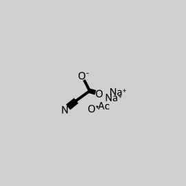 CC(=O)[O-].N#CC(=O)[O-].[Na+].[Na+]